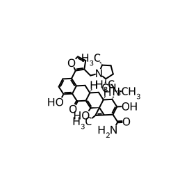 CC1=C2C(C(N)=O)=C(O)[C@@H](N(C)C)[C@@H]3C[C@@H]4Cc5c(-c6occc6CN6[C@H](C)CC[C@H]6C)ccc(O)c5C(=O)C4=C(O)[C@]123